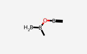 BB(C)OB=C